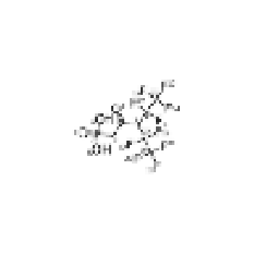 O=C(CP(=O)(O)O)C(C(F)(F)C(F)(F)F)C(F)(F)C(F)(F)F